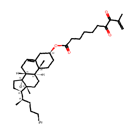 C=C(C)C(=O)C(=O)CCCCCC(=O)O[C@H]1CC[C@@]2(C)C(=CC[C@H]3[C@@H]4CC[C@H]([C@H](C)CCCC(C)C)[C@@]4(C)CC[C@@H]32)C1